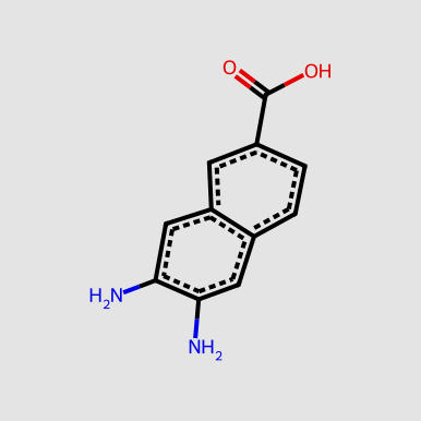 Nc1cc2ccc(C(=O)O)cc2cc1N